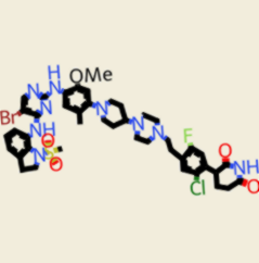 COc1cc(N2CCC(N3CCN(CCc4cc(Cl)c(C5CCC(=O)NC5=O)cc4F)CC3)CC2)c(C)cc1Nc1ncc(Br)c(Nc2cccc3c2N(S(C)(=O)=O)CC3)n1